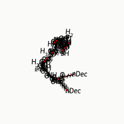 CCCCCCCCCCCCCCCCCC(=O)OC[C@H](COP(=O)(O)OCCNC(=O)CCCC(=O)N[C@H](C(=O)N[C@@H](C)C(=O)Nc1ccc(COC(=O)N(C)Cc2ccccc2C(=O)Nc2nc3c(ncn3[C@@H]3O[C@H](CO[PH2]=O)[C@@H](O)[C@H]3O[P@](=O)(S)OC[C@H]3C[C@@H](Oc4ccncn4)C[C@@H]3OS)c(=O)[nH]2)cc1)C(C)C)OC(=O)CCCCCCCCCCCCCCCCC